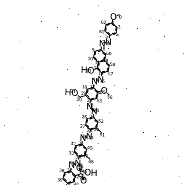 COc1ccc(N=Nc2ccc3c(O)c(N=Nc4cc(CO)c(N=Nc5ccc(N=Nc6ccc(N=Nc7ccccc7S(=O)(=O)O)c(C)c6)c(C)c5)cc4OC)ccc3c2)cc1